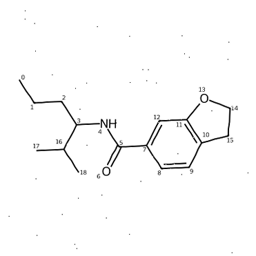 CCCC(NC(=O)c1ccc2c(c1)OCC2)C(C)C